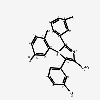 Cc1cccc(-c2nc(C=O)c(-c3cccc(Cl)c3)n2-c2cc(Cl)ccc2C)c1